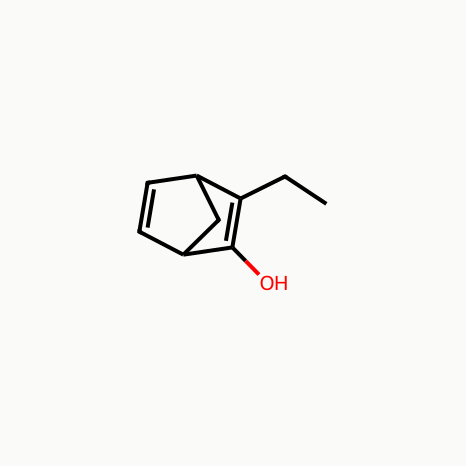 CCC1=C(O)C2C=CC1C2